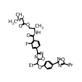 CCC(Oc1ccc(-c2noc(C(C)C)n2)cc1)c1nc(-c2ccc(C(=O)N[C@H](C)COC(=O)CN(C)C)c(F)c2)no1